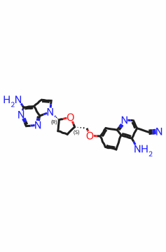 N#Cc1cnc2cc(OC[C@@H]3CC[C@H](n4ccc5c(N)ncnc54)O3)ccc2c1N